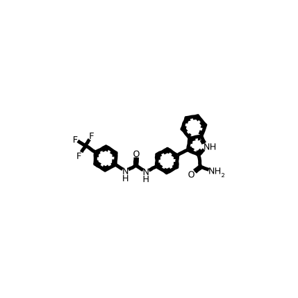 NC(=O)c1[nH]c2ccccc2c1-c1ccc(NC(=O)Nc2ccc(C(F)(F)F)cc2)cc1